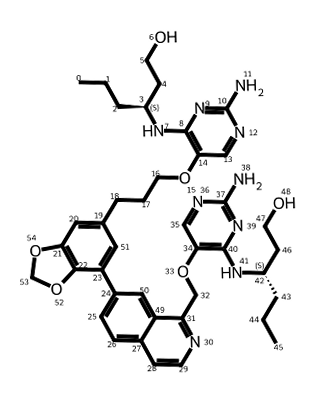 CCC[C@@H](CCO)Nc1nc(N)ncc1OCCCc1cc2c(c(-c3ccc4ccnc(COc5cnc(N)nc5N[C@@H](CCC)CCO)c4c3)c1)OCO2